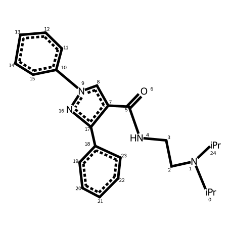 CC(C)N(CCNC(=O)c1cn(-c2ccccc2)nc1-c1ccccc1)C(C)C